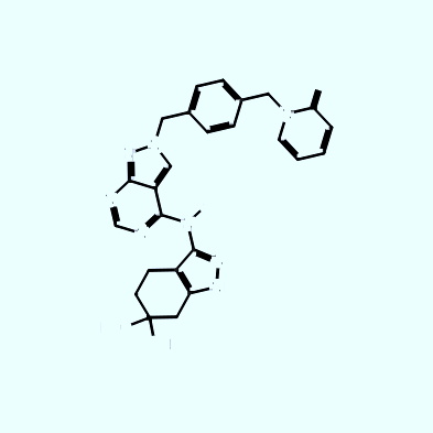 CN(c1n[nH]c2c1CCC(C)(C)C2)c1ncnc2nn(Cc3ccc(Cn4ccccc4=O)cc3)cc12